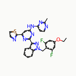 CCOc1cc(F)c(Cn2nc(-c3nc(Nc4ccnc(C)n4)cc(-c4nccs4)n3)c3ccccc32)c(F)c1